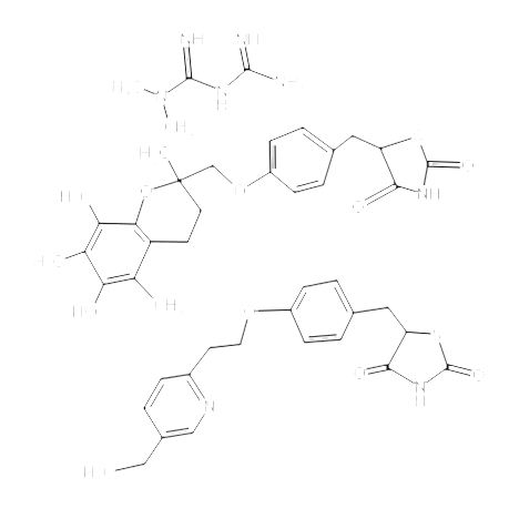 CCc1ccc(CCOc2ccc(CC3SC(=O)NC3=O)cc2)nc1.CN(C)C(=N)NC(=N)N.Cc1c(C)c2c(c(C)c1O)CCC(C)(COc1ccc(CC3SC(=O)NC3=O)cc1)O2